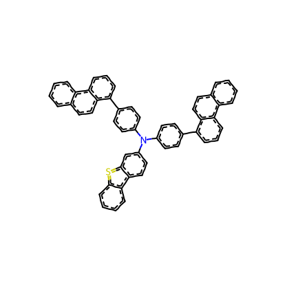 c1ccc2c(c1)ccc1c(-c3ccc(N(c4ccc(-c5cccc6c5ccc5ccccc56)cc4)c4ccc5c(c4)sc4ccccc45)cc3)cccc12